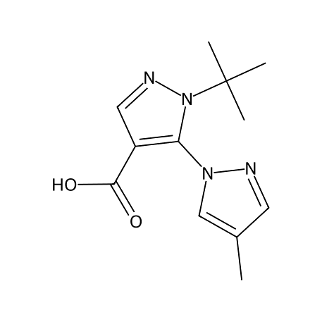 Cc1cnn(-c2c(C(=O)O)cnn2C(C)(C)C)c1